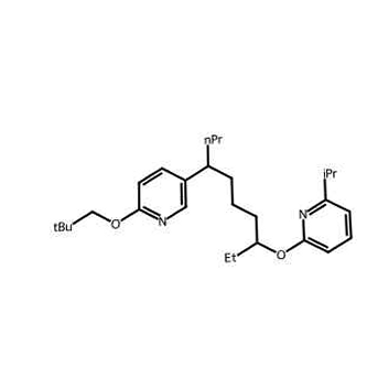 CCCC(CCCC(CC)Oc1cccc(C(C)C)n1)c1ccc(OCC(C)(C)C)nc1